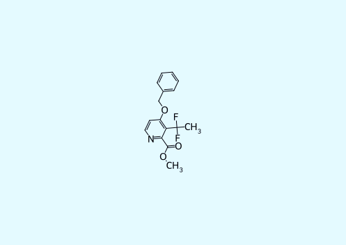 COC(=O)c1nccc(OCc2ccccc2)c1C(C)(F)F